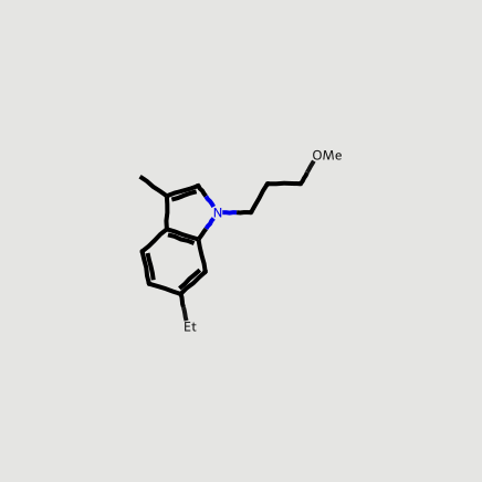 CCc1ccc2c(C)cn(CCCOC)c2c1